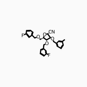 Cc1cccc(CO[C@@H]2[C@H](OCc3cccc(F)c3)[C@@H](COCc3cccc(F)c3)O[C@H]2C#N)c1